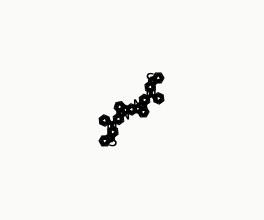 c1ccc(N(c2ccc3sc4ccccc4c3c2)c2ccc3c(c2)c2cccc4c5cc6c(cc5n3c24)c2cccc3c4cc(N(c5ccccc5)c5ccc7sc8ccccc8c7c5)ccc4n6c32)cc1